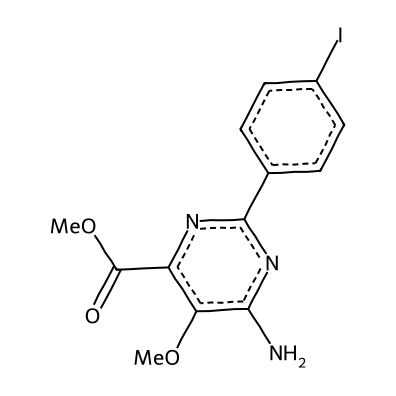 COC(=O)c1nc(-c2ccc(I)cc2)nc(N)c1OC